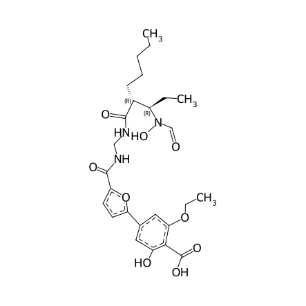 CCCCC[C@@H](C(=O)NCNC(=O)c1ccc(-c2cc(O)c(C(=O)O)c(OCC)c2)o1)[C@@H](CC)N(O)C=O